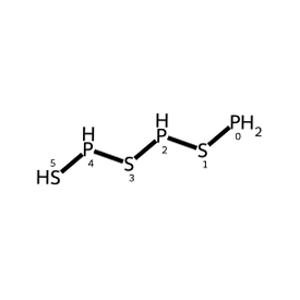 PSPSPS